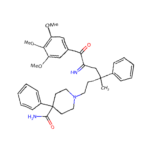 COc1cc(C(=O)C(=N)CC(C)(CCN2CCC(C(N)=O)(c3ccccc3)CC2)c2ccccc2)cc(OC)c1OC